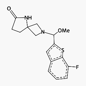 COC(c1cc2cccc(F)c2s1)N1CC2(CCC(=O)N2)C1